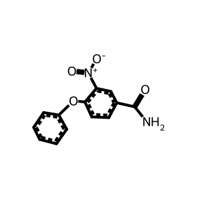 NC(=O)c1ccc(Oc2ccccc2)c([N+](=O)[O-])c1